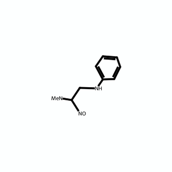 CNC(CNc1ccccc1)N=O